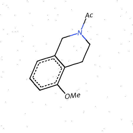 [CH2-][OH+]c1cccc2c1CCN(C(C)=O)C2